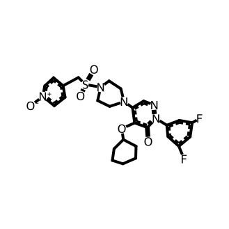 O=c1c(OC2CCCCC2)c(N2CCN(S(=O)(=O)Cc3cc[n+]([O-])cc3)CC2)cnn1-c1cc(F)cc(F)c1